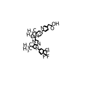 CC1(C)CN(c2ccc(C(F)(F)F)c(Cl)c2)c2ncc(C(=O)N3CCN(c4ccc(CC(=O)O)cn4)CC3(C)C)nc21